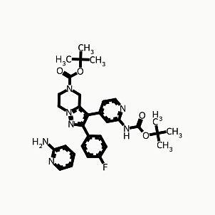 CC(C)(C)OC(=O)Nc1cc(-c2c(-c3ccc(F)cc3)nn3c2CN(C(=O)OC(C)(C)C)CC3)ccn1.Nc1ccccn1